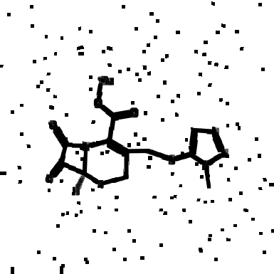 Cn1nncc1SCC1=C(C(=O)OC(C)(C)C)N2C(=O)C(=O)[C@@H]2SC1